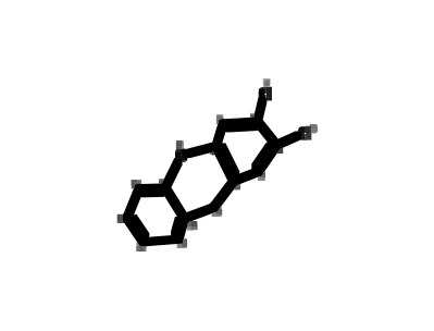 Clc1cc2c(cc1Cl)Oc1ccccc1C2